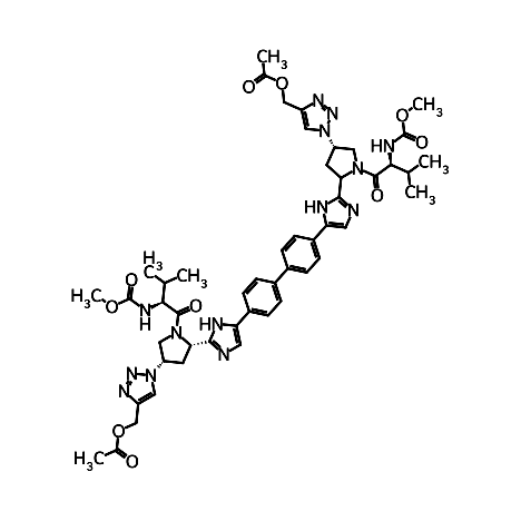 COC(=O)N[C@H](C(=O)N1C[C@@H](n2cc(COC(C)=O)nn2)CC1c1ncc(-c2ccc(-c3ccc(-c4cnc([C@@H]5C[C@H](n6cc(COC(C)=O)nn6)CN5C(=O)[C@@H](NC(=O)OC)C(C)C)[nH]4)cc3)cc2)[nH]1)C(C)C